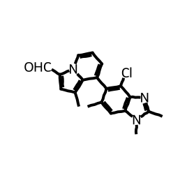 Cc1cc2c(nc(C)n2C)c(Cl)c1-c1cccn2c(C=O)cc(C)c12